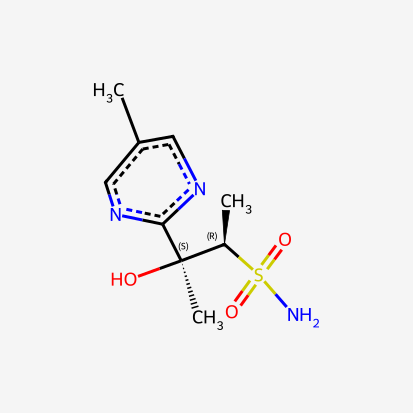 Cc1cnc([C@](C)(O)[C@@H](C)S(N)(=O)=O)nc1